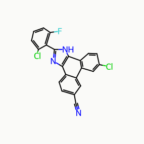 N#Cc1ccc2c(c1)c1cc(Cl)ccc1c1[nH]c(-c3c(F)cccc3Cl)nc21